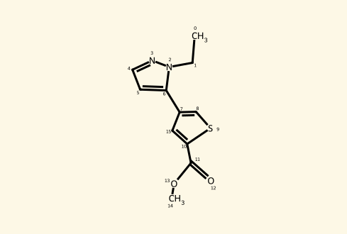 CCn1nccc1-c1csc(C(=O)OC)c1